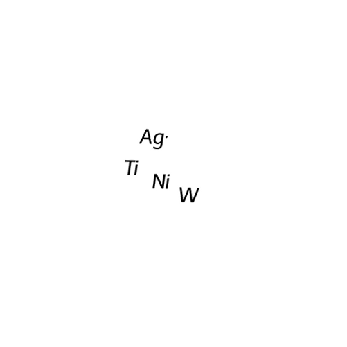 [Ag].[Ni].[Ti].[W]